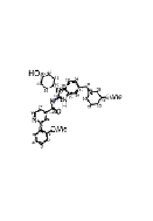 COc1ccccc1-c1cc(C(=O)/N=c2\[nH]c3cc(CN4CCCC(OC)C4)ccc3n2[C@H]2CC[C@@H](O)CC2)ccn1